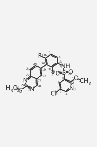 COc1ncc(Cl)cc1S(=O)(=O)Nc1ccc(F)c(-c2ccc3nc(SC)ncc3c2)c1F